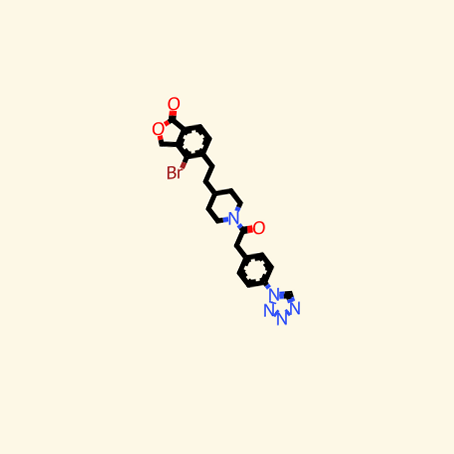 O=C1OCc2c1ccc(CCC1CCN(C(=O)Cc3ccc(-n4cnnn4)cc3)CC1)c2Br